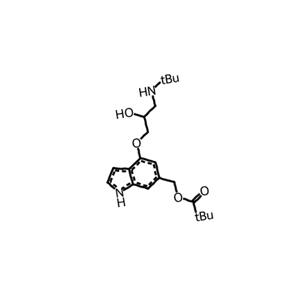 CC(C)(C)NCC(O)COc1cc(COC(=O)C(C)(C)C)cc2[nH]ccc12